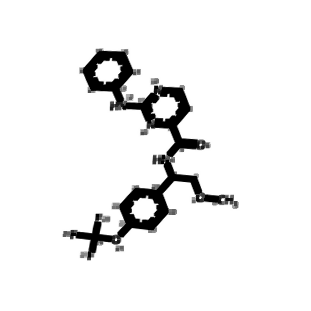 COCC(NC(=O)c1ccnc(Nc2ccccc2)n1)c1ccc(OC(F)(F)F)cc1